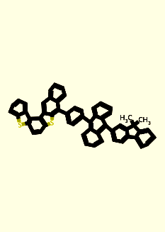 CC1(C)c2ccccc2-c2ccc(-c3c4ccccc4c(-c4ccc(-c5c6ccccc6cc6c5sc5ccc7sc8ccccc8c7c56)cc4)c4ccccc34)cc21